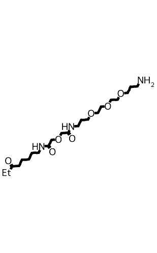 CCC(=O)CCCCCNC(=O)COCC(=O)NCCCOCCOCCOCCCN